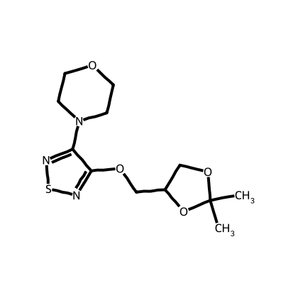 CC1(C)OCC(COc2nsnc2N2CCOCC2)O1